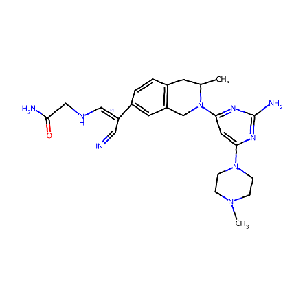 CC1Cc2ccc(/C(C=N)=C/NCC(N)=O)cc2CN1c1cc(N2CCN(C)CC2)nc(N)n1